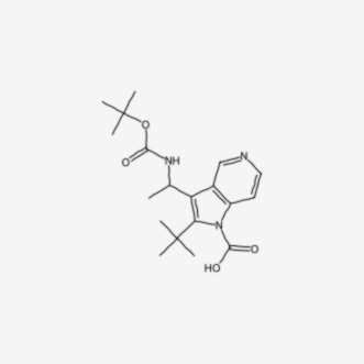 CC(NC(=O)OC(C)(C)C)c1c(C(C)(C)C)n(C(=O)O)c2ccncc12